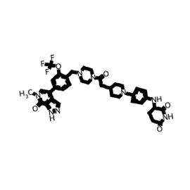 Cn1cc(-c2ccc(CN3CCN(C(=O)CC4CCN(c5ccc(NC6CCC(=O)NC6=O)cc5)CC4)CC3)c(OC(F)(F)F)c2)c2cn[nH]c2c1=O